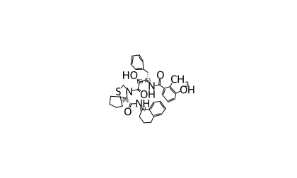 Cc1c(O)cccc1C(=O)N[C@@H](Cc1ccccc1)[C@H](O)C(=O)N1CSC2(CCCC2)[C@H]1C(=O)N[C@H]1CCCc2ccccc21